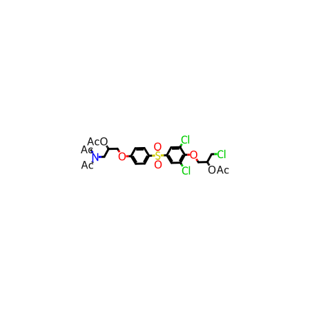 CC(=O)OC(CCl)COc1c(Cl)cc(S(=O)(=O)c2ccc(OCC(CN(C(C)=O)C(C)=O)OC(C)=O)cc2)cc1Cl